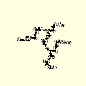 COCCOC(=O)CCN(CCSCC(C)C(=O)OCCOC(=O)CCN1CCN(CCCN(C)C)CC1)CCC(=O)OCCOC(=O)C(C)CSCCN(CCC(=O)OCCOC(=O)C(C)CSC)CCC(=O)OCCOC(=O)C(C)CSC